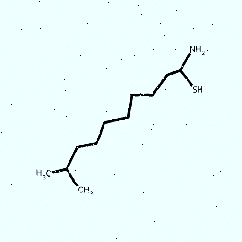 CC(C)CCCCCCCC(N)S